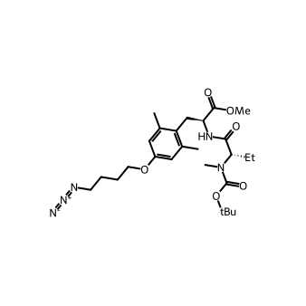 CC[C@@H](C(=O)N[C@@H](Cc1c(C)cc(OCCCCN=[N+]=[N-])cc1C)C(=O)OC)N(C)C(=O)OC(C)(C)C